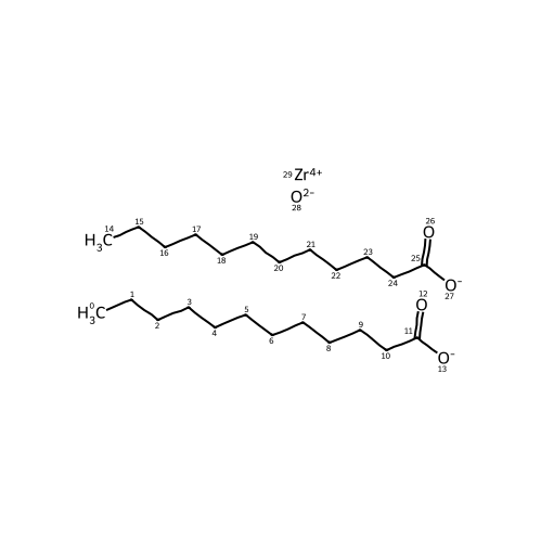 CCCCCCCCCCCC(=O)[O-].CCCCCCCCCCCC(=O)[O-].[O-2].[Zr+4]